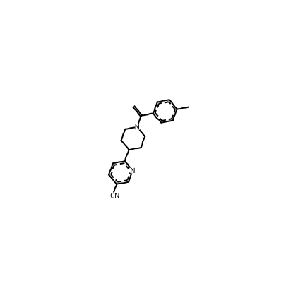 C=C(c1ccc(C)cc1)N1CCC(c2ccc(C#N)cn2)CC1